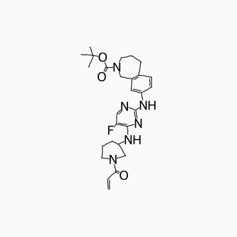 C=CC(=O)N1CCCC(Nc2nc(Nc3ccc4c(c3)CN(C(=O)OC(C)(C)C)CCC4)ncc2F)C1